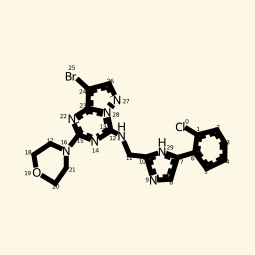 Clc1ccccc1-c1cnc(CNc2nc(N3CCOCC3)nc3c(Br)cnn23)[nH]1